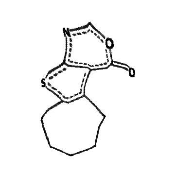 O=c1ocnc2sc3c(c12)CCCCC3